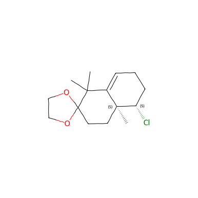 CC1(C)C2=CCC[C@H](Cl)[C@@]2(C)CCC12OCCO2